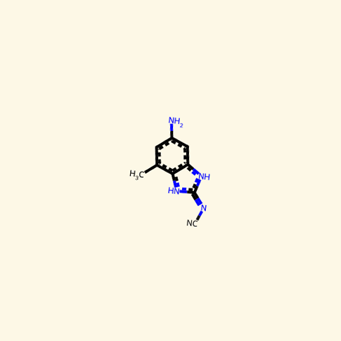 Cc1cc(N)cc2[nH]c(=NC#N)[nH]c12